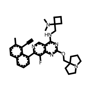 C#Cc1c(C)ccc2cccc(-c3ncc4c(NCC5(N(C)C)CCC5)nc(OCC56CCCN5CCC6)nc4c3F)c12